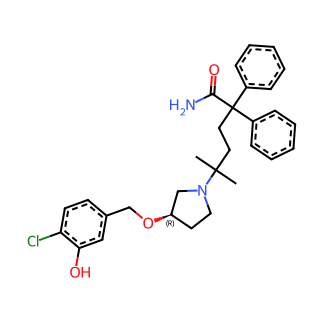 CC(C)(CCC(C(N)=O)(c1ccccc1)c1ccccc1)N1CC[C@@H](OCc2ccc(Cl)c(O)c2)C1